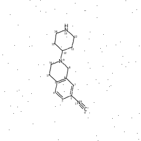 [C-]#[N+]c1ccc2c(c1)CN(C1CCNCC1)CC2